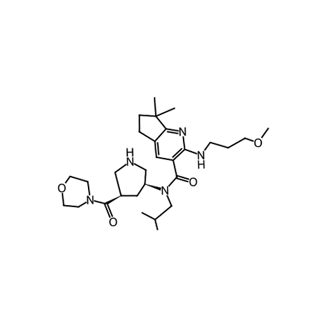 COCCCNc1nc2c(cc1C(=O)N(CC(C)C)[C@@H]1CNC[C@H](C(=O)N3CCOCC3)C1)CCC2(C)C